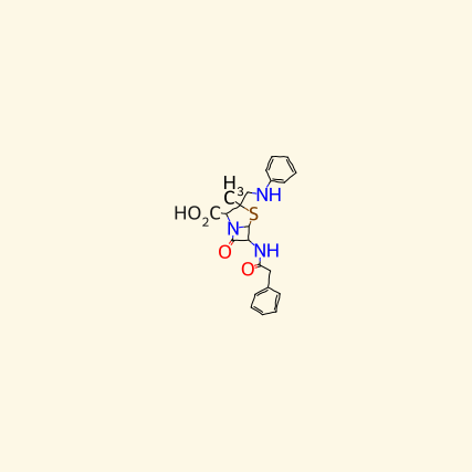 CC1(CNc2ccccc2)SC2C(NC(=O)Cc3ccccc3)C(=O)N2C1C(=O)O